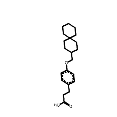 O=C(O)CCc1ccc(OCC2CCC3(CCCCC3)CC2)cc1